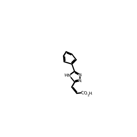 O=C(O)/C=C\c1nnc(-c2ccccc2)[nH]1